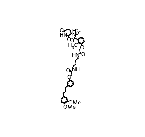 COc1ccc(CCCc2cccc(OCC(=O)NCCCCNC(=O)COc3cccc(C(=O)[NH+]([O-])C4CCC(=O)NC4=O)c3C)c2)cc1OC